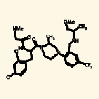 CNCC(=O)NC(Cc1ccc(Cl)cc1Cl)C(=O)N1CCN(c2ccc(C(F)(F)F)cc2CNC(C)COC)CC1C